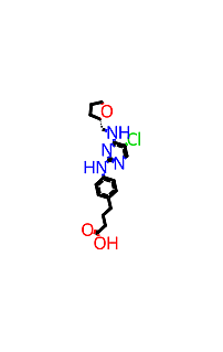 O=C(O)CCCc1ccc(Nc2ncc(Cl)c(NC[C@@H]3CCCO3)n2)cc1